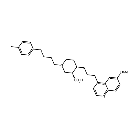 COc1ccc2nccc(CCC[C@@H]3CCN(CCCSc4ccc(C)cc4)C[C@@H]3C(=O)O)c2c1